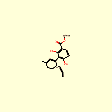 C=C=C[C@H]1CCC(C)=C=C1c1c(O)ccc(C(=O)OCCCCC)c1O